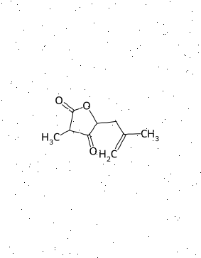 C=C(C)CC1OC(=O)C(C)C1=O